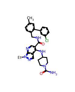 CCn1ncc2c(NC3CCN(C(N)=O)CC3)c(C(=O)NCc3ccc(C)cc3-c3cccc(Cl)c3)cnc21